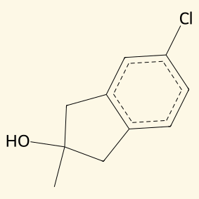 CC1(O)Cc2ccc(Cl)cc2C1